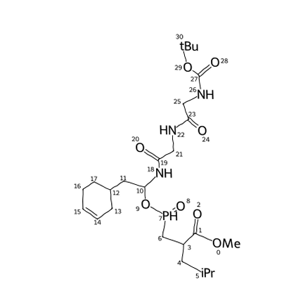 COC(=O)C(CC(C)C)C[PH](=O)OC(CC1CC=CCC1)NC(=O)CNC(=O)CNC(=O)OC(C)(C)C